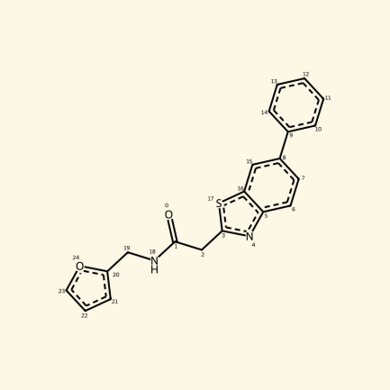 O=C(Cc1nc2ccc(-c3ccccc3)cc2s1)NCc1ccco1